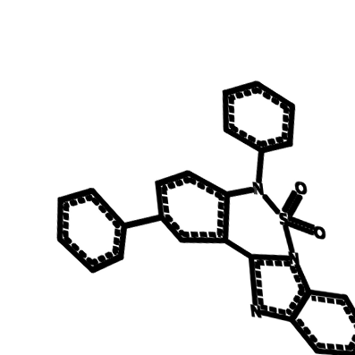 O=S1(=O)N(c2ccccc2)c2ccc(-c3ccccc3)cc2-c2nc3ccccc3n21